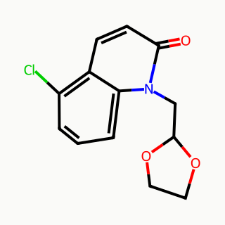 O=c1ccc2c(Cl)cccc2n1CC1OCCO1